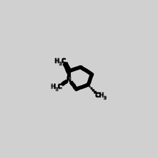 C=C1CC[C@H](C)CN1C